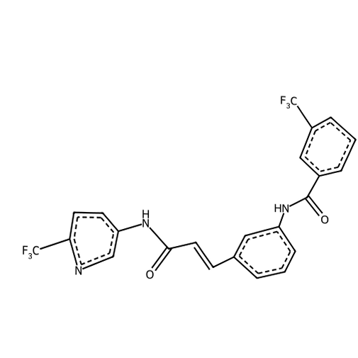 O=C(C=Cc1cccc(NC(=O)c2cccc(C(F)(F)F)c2)c1)Nc1ccc(C(F)(F)F)nc1